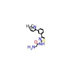 C/C=C\C(=N/C)c1cccc(-c2csc(NC(=O)CN)n2)c1